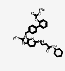 CCCc1nc2ccc(NCCC(=O)NC3CCCCC3)nc2n1Cc1ccc(-c2ccccc2OC(=O)OC(C)(C)C)cc1